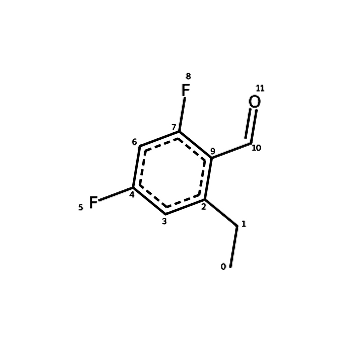 CCc1cc(F)cc(F)c1C=O